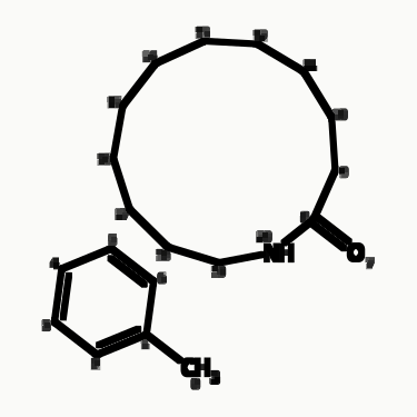 Cc1ccccc1.O=C1CCCCCCCCCCCN1